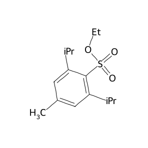 CCOS(=O)(=O)c1c(C(C)C)cc(C)cc1C(C)C